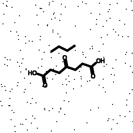 CCCC.O=C(O)CCC(=O)CCC(=O)O